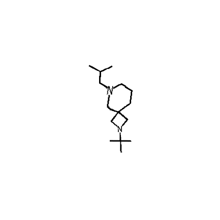 CC(C)CN1CCCC2(C1)CN(C(C)(C)C)C2